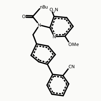 CCCCC(=O)N(Cc1ccc(-c2ccccc2C#N)cc1)c1nc(OC)ccc1[N+](=O)[O-]